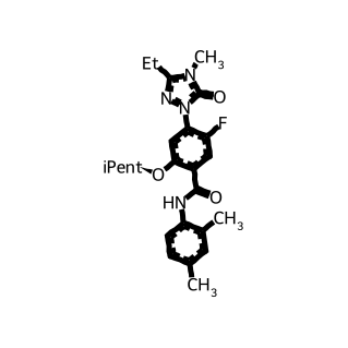 CCC[C@H](C)Oc1cc(-n2nc(CC)n(C)c2=O)c(F)cc1C(=O)Nc1ccc(C)cc1C